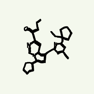 CCCC(=O)c1cc2c(-c3cc(C)cc(C4(CC)CCCC4)n3)cc(C3CCCC3)n2cn1